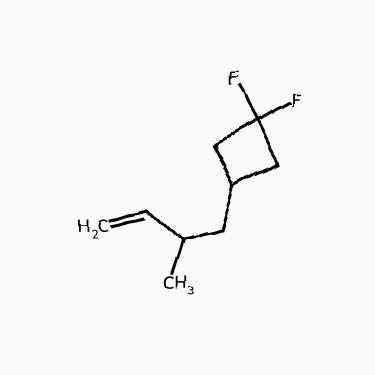 C=CC(C)CC1CC(F)(F)C1